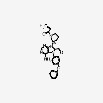 C=CC(=O)N1CCC[C@@H](N2c3ncnc(N)c3N(c3ccc(Oc4ccccc4)cc3)C2C=O)C1